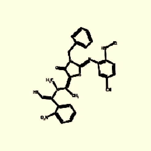 CCNc1ccc(C#N)cc1N=C1S/C(=C(\C)N(C)/C(=C\S)c2ccccc2[N+](=O)[O-])C(=O)N1Cc1ccccc1